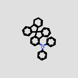 C1=CC2=C(CC1)c1ccccc1C21c2ccccc2-c2c(N(c3ccccc3)c3ccccc3)cccc21